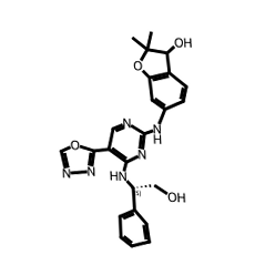 CC1(C)Oc2cc(Nc3ncc(-c4nnco4)c(N[C@H](CO)c4ccccc4)n3)ccc2C1O